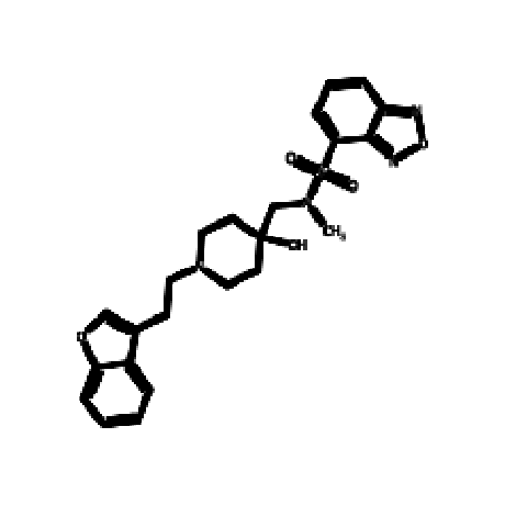 CN(CC1(O)CCN(CCc2coc3ccccc23)CC1)S(=O)(=O)c1cccc2nonc12